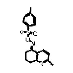 Cc1ccc(S(=O)(=O)O/N=C2\CCCc3nc(C)ccc32)cc1